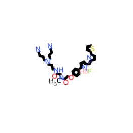 CN(CC(=O)NCCCN(CCCC#N)CCCC#N)C(=O)COc1ccc(-c2ccc(/C=C3/C=CC(c4cccs4)=N3)n2BF)cc1